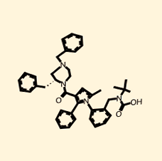 Cc1cc(C(=O)N2CCN(Cc3ccccc3)C[C@H]2Cc2ccccc2)c(-c2ccccc2)n1-c1ccccc1CN(C(=O)O)C(C)(C)C